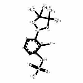 CCCS(=O)(=O)Nc1cccc(B2OC(C)(C)C(C)(C)O2)c1F